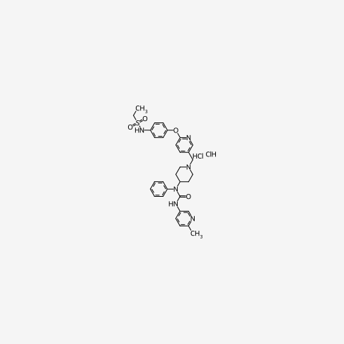 CCS(=O)(=O)Nc1ccc(Oc2ccc(CN3CCC(N(C(=O)Nc4ccc(C)nc4)c4ccccc4)CC3)cn2)cc1.Cl.Cl